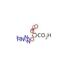 O=C(O)c1cc(Oc2cnc(NCC3CC3)cn2)cc(O[C@H]2CCOC2)c1